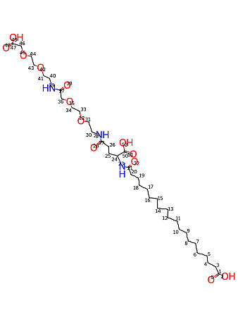 O=C(O)CCCCCCCCCCCCCCCCCCC(=O)NC(CCC(=O)NCCOCCOCC(=O)NCCOCCOCC(=O)O)C(=O)O